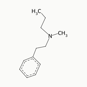 CCCN(C)CCc1ccccc1